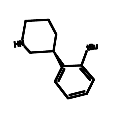 CC(C)(C)c1ccccc1[C@@H]1CCCNC1